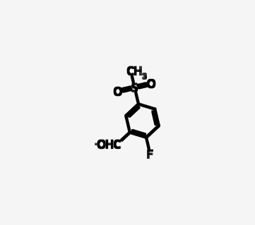 CS(=O)(=O)c1ccc(F)c([C]=O)c1